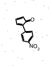 O=C1C=CC=C1c1ccc([N+](=O)[O-])cc1